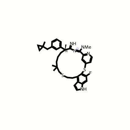 CN/C1=N\C(=N)[C@@](C)(c2cccc(CC3(C)CC3)c2)CCCC(C)(C)CSCCc2c(c(F)cc3[nH]ccc23)Sc2ccnc1c2